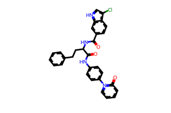 O=C(NC(CCc1ccccc1)C(=O)Nc1ccc(-n2ccccc2=O)cc1)c1ccc2c(Cl)c[nH]c2c1